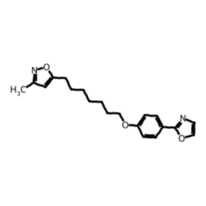 Cc1cc(CCCCCCCOc2ccc(-c3ncco3)cc2)on1